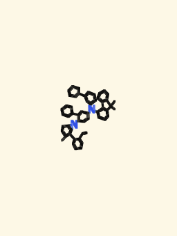 C=Cc1ccccc1-c1c(C)ccc2c1N2c1ccc(N(c2cccc(-c3ccccc3)c2)c2cccc3c2-c2ccccc2C3(C)C)cc1-c1ccccc1